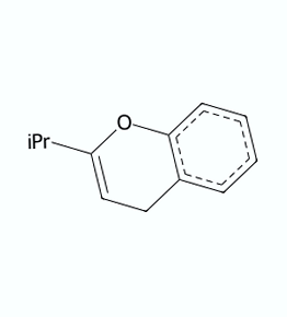 CC(C)C1=CCc2ccccc2O1